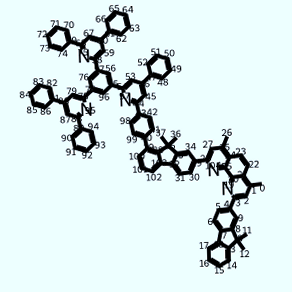 Cc1cc(-c2ccc3c(c2)C(C)(C)c2ccccc2-3)nc2c1ccc1c(C)cc(-c3ccc4c(c3)C(C)(C)c3c(-c5ccc(-c6cc(-c7ccccc7)cc(-c7cc(-c8cc(-c9ccccc9)cc(-c9ccccc9)n8)cc(-c8cc(-c9ccccc9)cc(-c9ccccc9)n8)c7)n6)cc5)cccc3-4)nc12